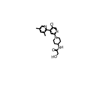 Cc1cnc(-c2cc(N3CCC(NC(=O)CO)CC3)ncc2Cl)c(C)c1